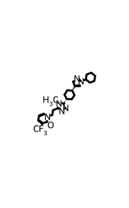 Cn1c(CCn2cccc(C(F)(F)F)c2=O)nnc1[C@H]1CC[C@H](c2cnn(C3CCCCC3)c2)CC1